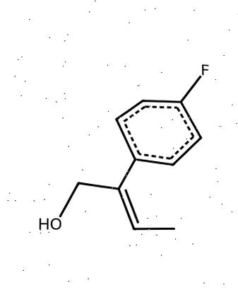 C/C=C(/CO)c1ccc(F)cc1